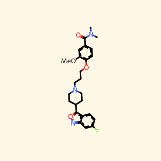 COc1cc(C(=O)N(C)C)ccc1OCCCN1CCC(c2onc3cc(F)ccc23)CC1